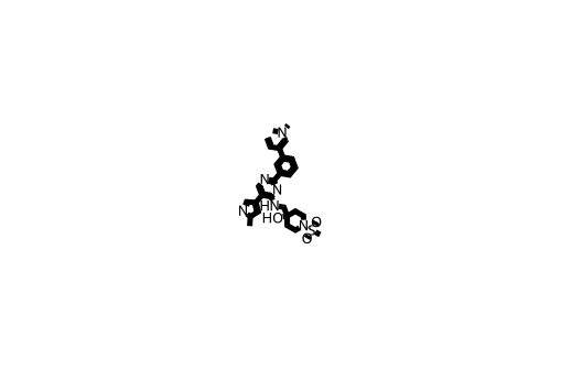 C=C/C(=C\N(C)C)c1cccc(-c2ncc(C3=CC(C)N=C3)c(NCC3(O)CCN(S(C)(=O)=O)CC3)n2)c1